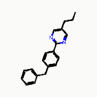 CCCc1cnc(-c2ccc(Cc3ccccc3)cc2)nc1